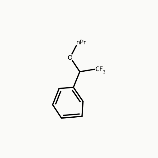 CCCOC(c1ccccc1)C(F)(F)F